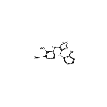 [C-]#[N+]c1cccc(Nc2nsnc2Nc2ccccc2Br)c1O